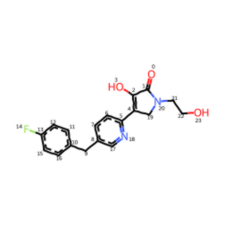 O=C1C(O)=C(c2ccc(Cc3ccc(F)cc3)cn2)CN1CCO